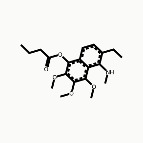 CCCC(=O)Oc1c(OC)c(OC)c(OC)c2c(NC)c(CC)ccc12